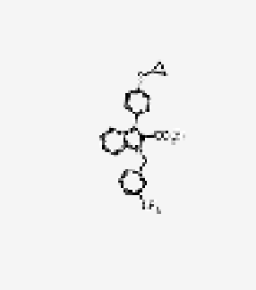 CCOC(=O)c1c(-c2ccc(SC3CC3)cc2)c2ccccc2n1Cc1cccc(C(F)(F)F)c1